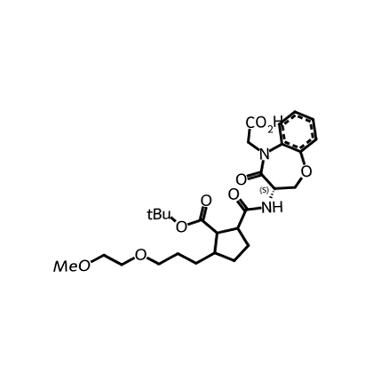 COCCOCCCC1CCC(C(=O)N[C@H]2COc3ccccc3N(CC(=O)O)C2=O)C1C(=O)OC(C)(C)C